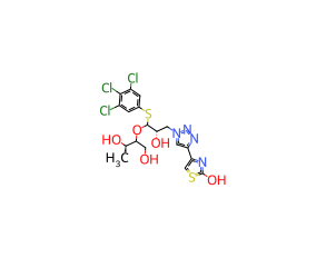 C[C@@H](O)C(CO)OC(Sc1cc(Cl)c(Cl)c(Cl)c1)[C@@H](O)Cn1cc(-c2csc(O)n2)nn1